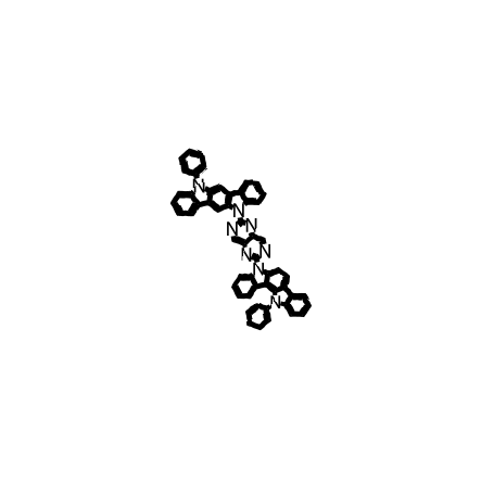 C1=CC(n2c3ccccc3c3ccc4c(c5ccccc5n4-c4ncc5nc(-n6c7ccccc7c7cc8c(cc76)c6ccccc6n8-c6ccccc6)ncc5n4)c32)=CCC1